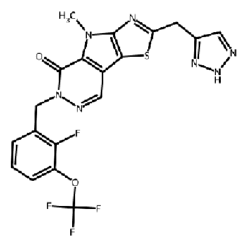 Cn1c2nc(Cc3cn[nH]n3)sc2c2cnn(Cc3cccc(OC(F)(F)F)c3F)c(=O)c21